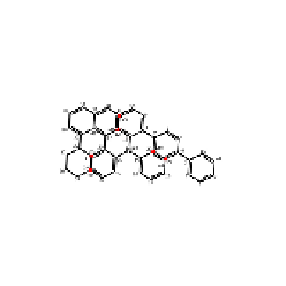 c1ccc(-c2ccc(-c3ccccc3N(c3ccccc3)c3ccccc3-c3cccc4cccc(C5CCCCC5)c34)cc2)cc1